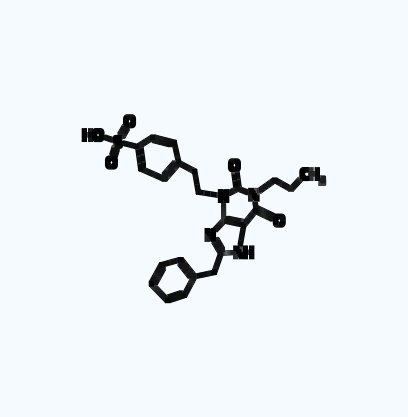 CCCn1c(=O)c2[nH]c(Cc3ccccc3)nc2n(CCc2ccc(S(=O)(=O)O)cc2)c1=O